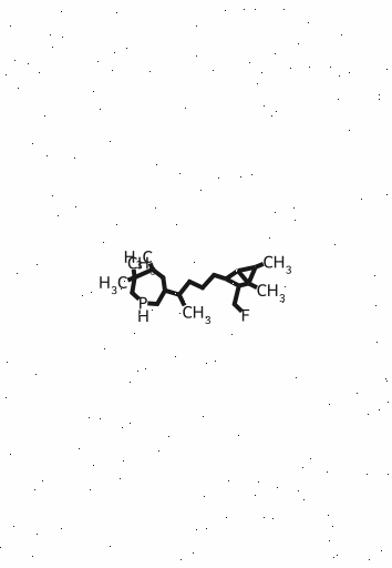 CC(CCCC1C(CF)C2(C)C(C)C12)C1CPCC(C)(C)C(C)C1